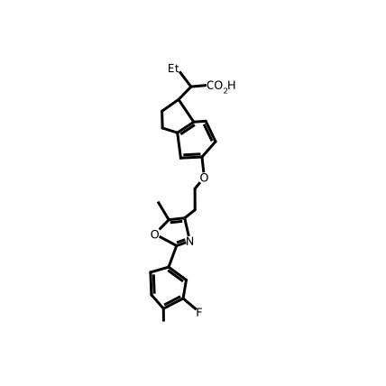 CCC(C(=O)O)C1CCc2cc(OCCc3nc(-c4ccc(C)c(F)c4)oc3C)ccc21